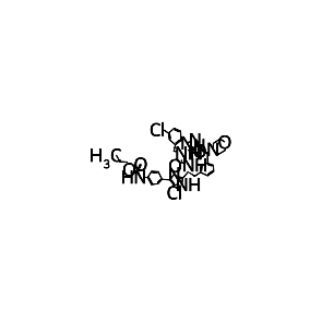 CCCOC(=O)Nc1ccc(-c2nc([C@H](Cc3cccc(C(=O)N4CCOCC4)c3)NC(=O)NCc3cc(Cl)ccc3-n3cnnn3)[nH]c2Cl)cc1